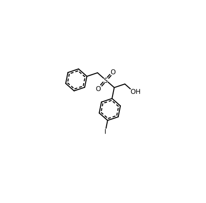 O=S(=O)(Cc1ccccc1)C(CO)c1ccc(I)cc1